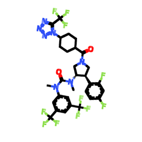 CN(C(=O)N(C)[C@@H]1CN(C(=O)C2CCC(n3nnnc3C(F)(F)F)CC2)C[C@H]1c1ccc(F)cc1F)c1cc(C(F)(F)F)cc(C(F)(F)F)c1